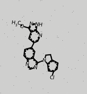 COc1n[nH]c2ncc(-c3ccc4ncnc(N5CCc6ccc(Cl)cc65)c4c3)cc12